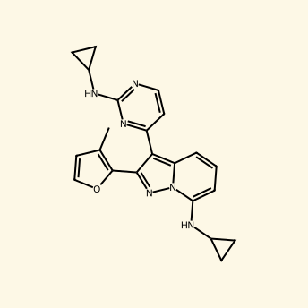 Cc1ccoc1-c1nn2c(NC3CC3)cccc2c1-c1ccnc(NC2CC2)n1